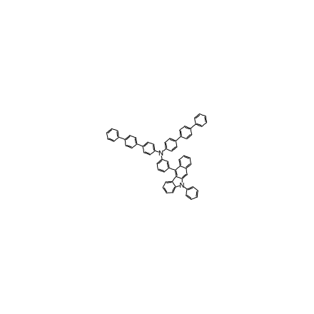 c1ccc(-c2ccc(-c3ccc(N(c4ccc(-c5ccc(-c6ccccc6)cc5)cc4)c4cccc(-c5c6ccccc6cc6c5c5ccccc5n6-c5ccccc5)c4)cc3)cc2)cc1